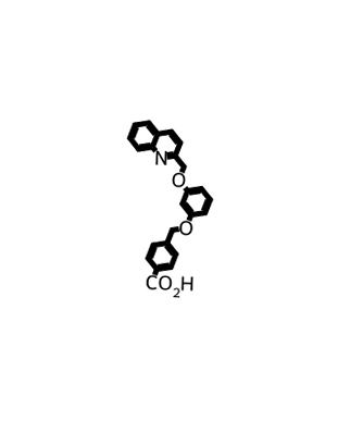 O=C(O)c1ccc(COc2cccc(OCc3ccc4ccccc4n3)c2)cc1